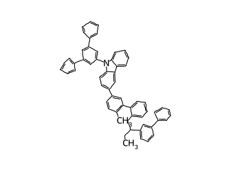 CCC(Cc1ccccc1-c1cc(-c2ccc3c(c2)c2ccccc2n3-c2cc(-c3ccccc3)cc(-c3ccccc3)c2)ccc1C)c1cccc(-c2ccccc2)c1